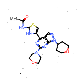 CNC(=O)NC1NC(c2nc(N3CCOCC3)nc3c2cnn3C2CCOCC2)=CS1